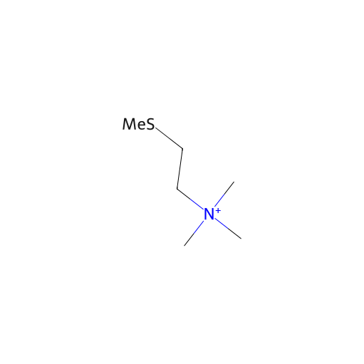 CSCC[N+](C)(C)C